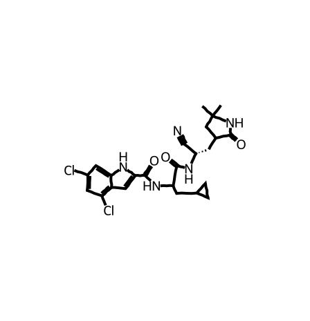 CC1(C)CC(C[C@@H](C#N)NC(=O)C(CC2CC2)NC(=O)c2cc3c(Cl)cc(Cl)cc3[nH]2)C(=O)N1